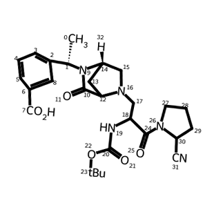 C[C@@H](c1cccc(C(=O)O)c1)N1C(=O)C2C[C@H]1CN2CC(NC(=O)OC(C)(C)C)C(=O)N1CCCC1C#N